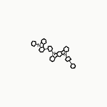 c1ccc(-c2ccc(-n3c4ccccc4c4cc5c(cc43)c3ccccc3n5-c3cccc(-c4cccc5c4c4ccccc4n5-c4ccccc4)c3)cc2)cc1